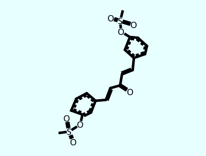 CS(=O)(=O)Oc1cccc(/C=C/C(=O)/C=C/c2cccc(OS(C)(=O)=O)c2)c1